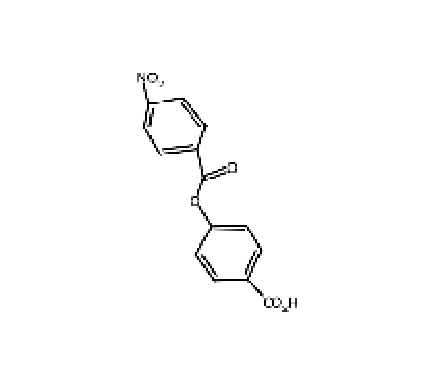 O=C(O)c1ccc(OC(=O)c2ccc([N+](=O)[O-])cc2)cc1